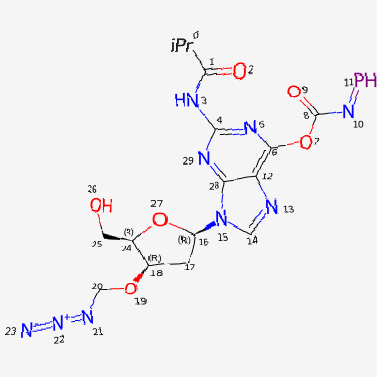 CC(C)C(=O)Nc1nc(OC(=O)N=P)c2ncn([C@H]3C[C@@H](OCN=[N+]=[N-])[C@@H](CO)O3)c2n1